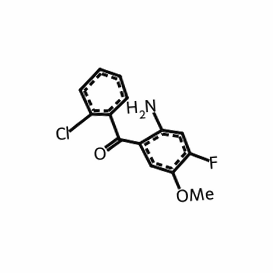 COc1cc(C(=O)c2ccccc2Cl)c(N)cc1F